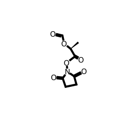 C[C@H](OC=O)C(=O)ON1C(=O)CCC1=O